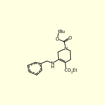 CCOC(=O)C1=C(NCc2ccccc2)CN(C(=O)OC(C)(C)C)CC1